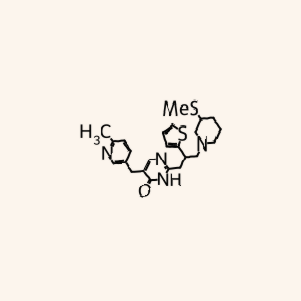 CSC1CCCN(CC(Cc2ncc(Cc3ccc(C)nc3)c(=O)[nH]2)c2cccs2)C1